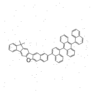 CC1(C)c2ccccc2-c2cc3oc4cc5ccc(-c6ccc(-c7c8ccccc8c(-c8cccc9ccccc89)c8ccccc78)c7ccccc67)cc5cc4c3cc21